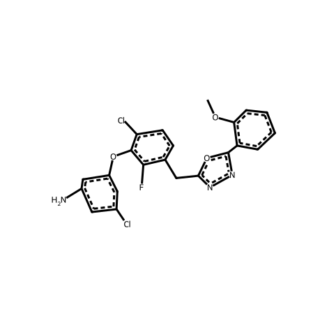 COc1ccccc1-c1nnc(Cc2ccc(Cl)c(Oc3cc(N)cc(Cl)c3)c2F)o1